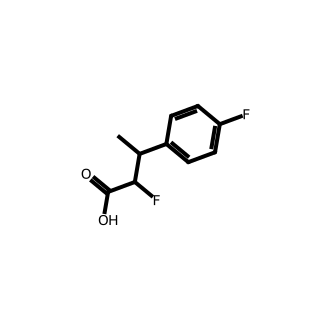 CC(c1ccc(F)cc1)C(F)C(=O)O